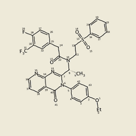 CCOc1ccc(-n2c([C@@H](C)N(CCS(=O)(=O)c3ccccc3)C(=O)Cc3ccc(F)c(C(F)(F)F)c3)nc3ncccc3c2=O)cc1